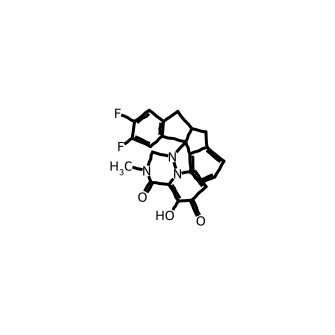 CN1CN(C23c4ccccc4CC2Cc2cc(F)c(F)cc23)n2ccc(=O)c(O)c2C1=O